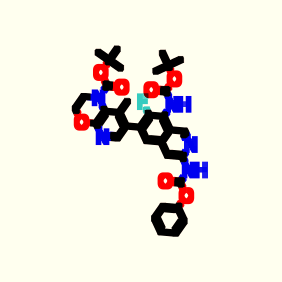 Cc1c(-c2cc3cc(NC(=O)Oc4ccccc4)ncc3c(NC(=O)OC(C)(C)C)c2F)cnc2c1N(C(=O)OC(C)(C)C)CCO2